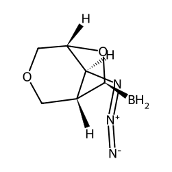 B[C@@H]1O[C@H]2COC[C@@H]1[C@@H]2N=[N+]=[N-]